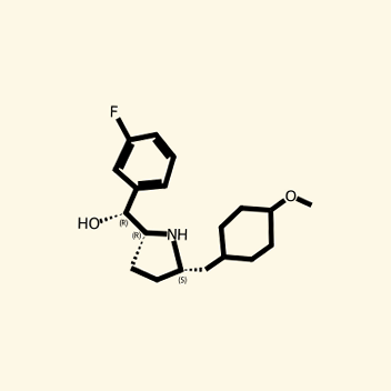 COC1CCC(C[C@@H]2CC[C@H]([C@H](O)c3cccc(F)c3)N2)CC1